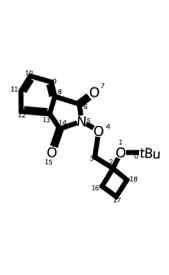 CC(C)(C)OC1(CON2C(=O)c3ccccc3C2=O)CCC1